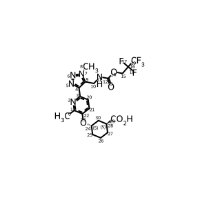 Cc1nc(-c2nnn(C)c2CNC(=O)OCC(F)(F)C(F)(F)F)ccc1O[C@H]1CCC[C@H](C(=O)O)C1